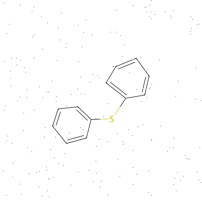 [c]1cccc(Sc2ccccc2)c1